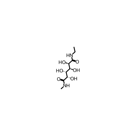 CCNC(=O)[C@H](O)[C@@H](O)[C@@H](O)[C@H](O)C(=O)NC